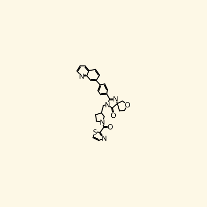 O=C(c1nccs1)N1CCC(CN2C(=O)C3(CCOC3)N=C2c2ccc(-c3ccc4cccnc4c3)cc2)C1